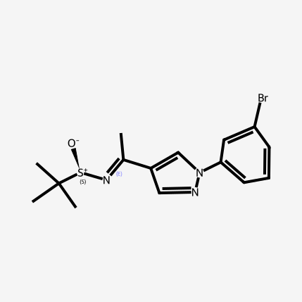 C/C(=N\[S@+]([O-])C(C)(C)C)c1cnn(-c2cccc(Br)c2)c1